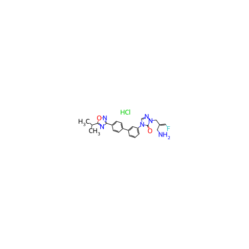 CC(C)c1nc(-c2ccc(-c3cccc(-n4cnn(C/C(=C/F)CN)c4=O)c3)cc2)no1.Cl